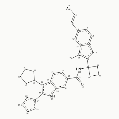 CC(=O)/C=C/c1ccc2nc(C3(NC(=O)c4ccc5c(C6CCCC6)c(-c6ccoc6)[nH]c5c4)CCC3)n(C)c2c1